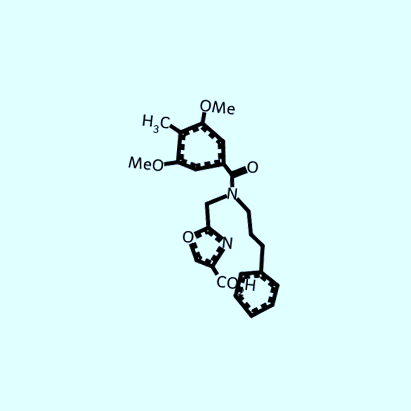 COc1cc(C(=O)N(CCCc2ccccc2)Cc2nc(C(=O)O)co2)cc(OC)c1C